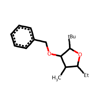 CCC1OC(C(C)(C)C)C(OCc2ccccc2)C1C